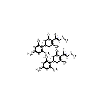 CCO/N=C(\CC)C1=C(O)CC(c2c(C)cc(C)cc2C)CC1=O.CCO/N=C(\CC)C1=C(O)CC(c2c(C)cc(C)cc2C)CC1=O